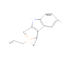 C=CCP12=Cc3[nH]c4ccc(Cl)cc4c3C1C2